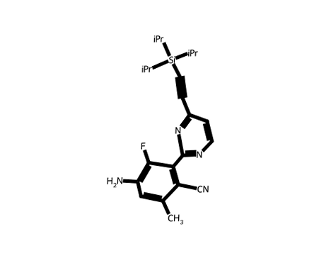 Cc1cc(N)c(F)c(-c2nccc(C#C[Si](C(C)C)(C(C)C)C(C)C)n2)c1C#N